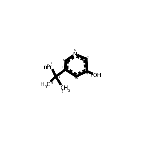 CCCC(C)(C)c1cncc(O)c1